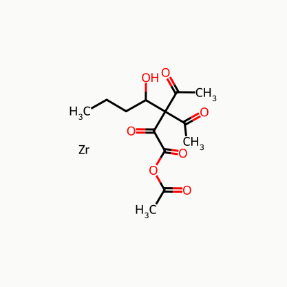 CCCC(O)C(C(C)=O)(C(C)=O)C(=O)C(=O)OC(C)=O.[Zr]